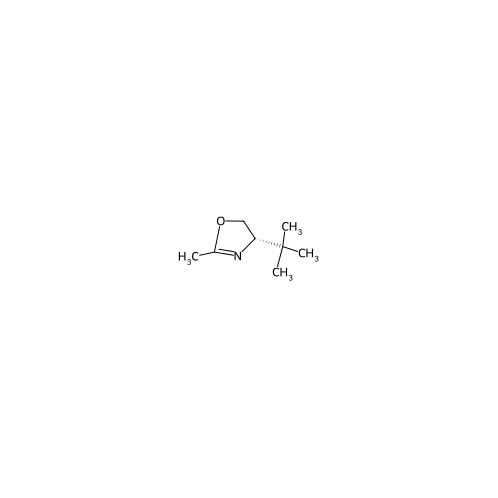 CC1=N[C@@H](C(C)(C)C)CO1